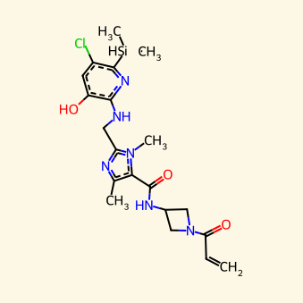 C=CC(=O)N1CC(NC(=O)c2c(C)nc(CNc3nc([SiH](C)C)c(Cl)cc3O)n2C)C1